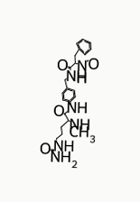 CNC(CCCNC(N)=O)C(=O)Nc1ccc(CNC(=O)C(Cc2ccccc2)NC=O)cc1